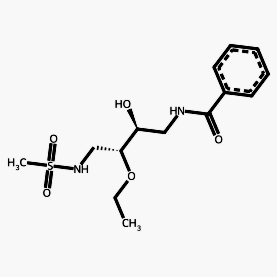 CCO[C@H](CNS(C)(=O)=O)[C@@H](O)CNC(=O)c1ccccc1